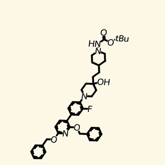 CC(C)(C)OC(=O)NN1CCC(CCC2(O)CCN(c3ccc(-c4ccc(OCc5ccccc5)nc4OCc4ccccc4)cc3F)CC2)CC1